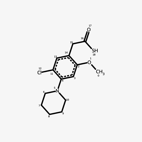 COc1cc(N2CCCCC2)c(Cl)cc1CC(=O)S